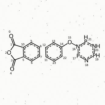 O=C1OC(=O)c2ccccc21.c1ccc(On2pn[pH][nH][pH]2)cc1